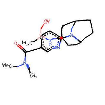 CON(C)C(=O)c1ccc(N2C3CCC2CC(NB(C)O)C3)nc1